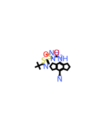 CC(C)(C)c1ncc(S(N)(=O)=NC(=O)Nc2c3c(c(C#N)c4c2CCC4)CCC3)s1